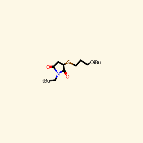 CC(C)COCCCSC1CC(=O)N(CC(C)(C)C)C1=O